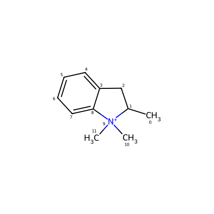 CC1Cc2ccccc2[N+]1(C)C